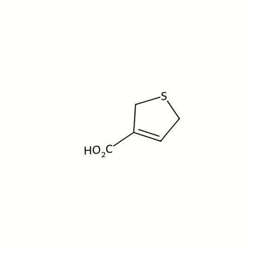 O=C(O)C1=CCSC1